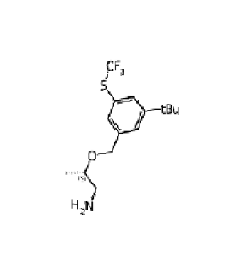 C[C@@H](CN)OCc1cc(SC(F)(F)F)cc(C(C)(C)C)c1